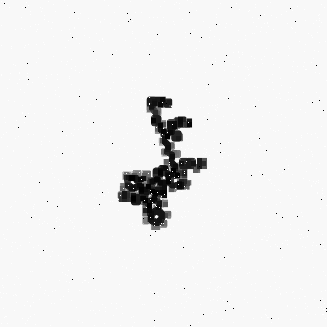 COCCOCCN(CCCCC[C@@H](NC(=O)[C@@H](CC(C)C)NC(=O)[C@@H](Cc1ccccc1)NC(=O)[C@@H](Cc1ccccc1)NC(=O)OC(C)(C)C)C(=O)O)C(=O)OC(C)(C)C